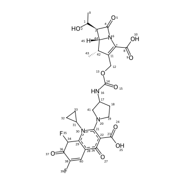 CC(O)[C@H]1C(=O)N2C(C(=O)O)=C(COC(=O)NC3CCN(c4c(C(=O)O)c(=O)c5c(n4C4CC4)C(F)C(=O)C(F)=C5)C3)[C@H](C)[C@H]12